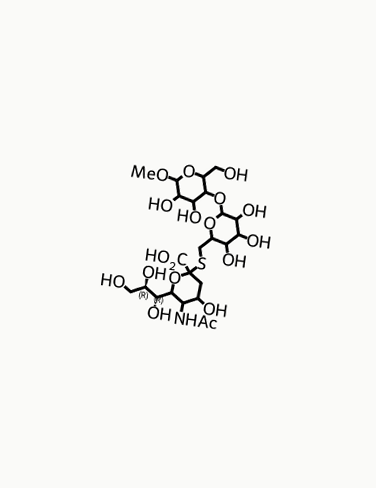 COC1OC(CO)C(OC2OC(CSC3(C(=O)O)CC(O)C(NC(C)=O)C([C@H](O)[C@H](O)CO)O3)C(O)C(O)C2O)C(O)C1O